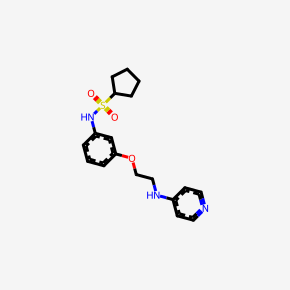 O=S(=O)(Nc1cccc(OCCNc2ccncc2)c1)C1CCCC1